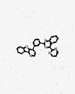 c1cnc(-c2nc(-c3cccc(-c4ccnc5c4oc4ccccc45)c3)nc3ccccc23)nc1